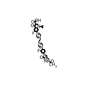 CC(=O)NCC1CN(c2ccc(N3CCN(CCN4CCN(c5cc6c(cc5F)c(=O)c(C(=O)O)cn6C5CC5)CC4)CC3)c(F)c2)C(=O)O1